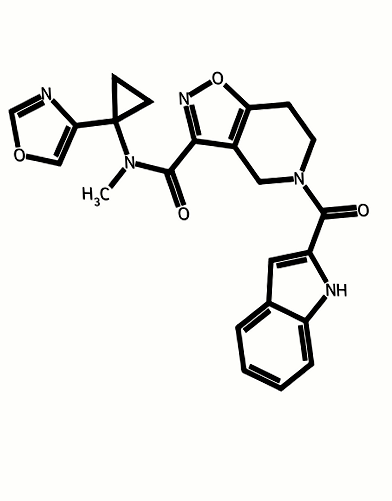 CN(C(=O)c1noc2c1CN(C(=O)c1cc3ccccc3[nH]1)CC2)C1(c2cocn2)CC1